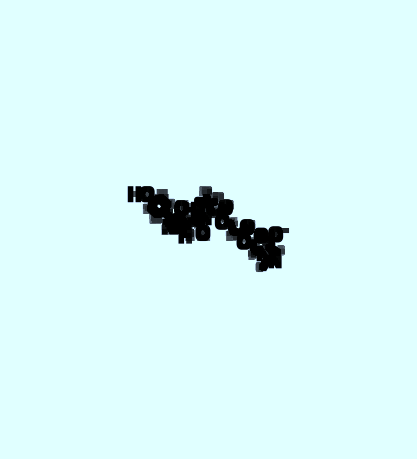 Cc1ncc([N+](=O)[O-])n1CCOC(=O)CCOC(=O)[C@@H]1N2C(=O)[C@@H](NC(=O)[C@H](N)c3ccc(O)cc3)[C@H]2SC1(C)C